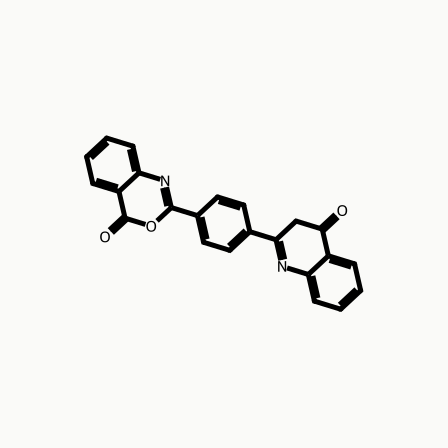 O=C1CC(c2ccc(-c3nc4ccccc4c(=O)o3)cc2)=Nc2ccccc21